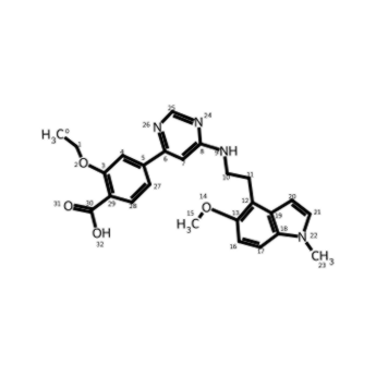 CCOc1cc(-c2cc(NCCc3c(OC)ccc4c3ccn4C)ncn2)ccc1C(=O)O